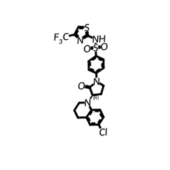 O=C1[C@H](N2CCCc3cc(Cl)ccc32)CCN1c1ccc(S(=O)(=O)Nc2nc(C(F)(F)F)cs2)cc1